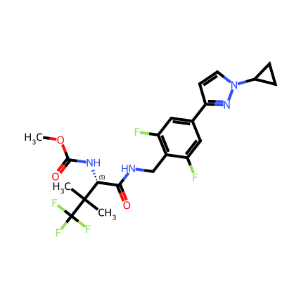 COC(=O)N[C@H](C(=O)NCc1c(F)cc(-c2ccn(C3CC3)n2)cc1F)C(C)(C)C(F)(F)F